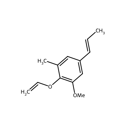 C=COc1c(C)cc(/C=C/C)cc1OC